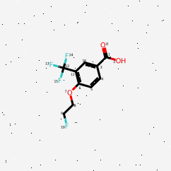 O=C(O)c1ccc(OCCF)c(C(F)(F)F)c1